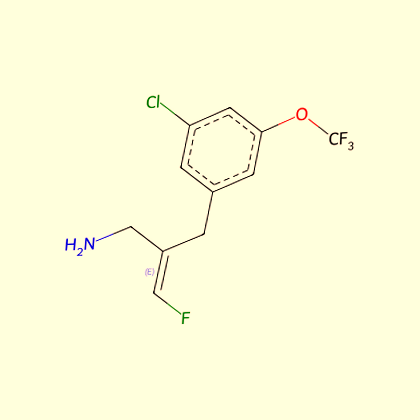 NC/C(=C/F)Cc1cc(Cl)cc(OC(F)(F)F)c1